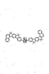 CC1(C)c2cc(C3=CC=C(c4ccc5c(c4)C(C)(C)c4cc6c(cc4-5)-c4c(ccc5ccccc45)C6(C)C)[Si]3(C)C)ccc2-c2cc3c(cc21)C(C)(C)c1ccc2ccccc2c1-3